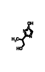 CC(CO)c1ncn(O)n1